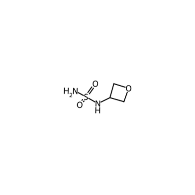 NS(=O)(=O)NC1COC1